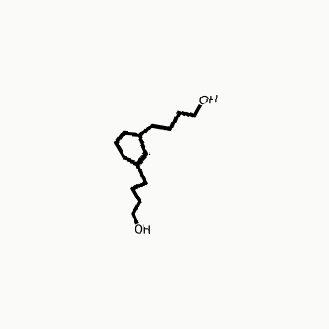 OCCCCC1[CH]C(CCCCO)CCC1